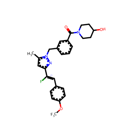 Cc1cc(/C(F)=C/c2ccc(OC(F)(F)F)cc2)nn1Cc1cccc(C(=O)N2CCC(O)CC2)c1